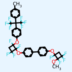 COC1(F)C(F)(F)CC1(F)Oc1ccc(-c2ccc(OC3(F)C(F)(F)CC3(F)Oc3ccc(C(c4ccc(C)cc4)(C(F)(F)F)C(F)(F)F)cc3)cc2)cc1